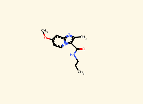 CCCNC(=O)c1c(C)nc2cc(OC)ccn12